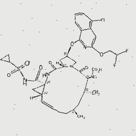 C[C@H]1CCC=C[C@@H]2C[C@@]2(C(=O)NS(=O)(=O)C2CC2)NC(=O)[C@@H]2C[C@@H](Oc3nc(OCC(F)F)cc4c(Cl)cccc34)CN2C(=O)[C@@H](NC(=O)O)[C@H](C)C1